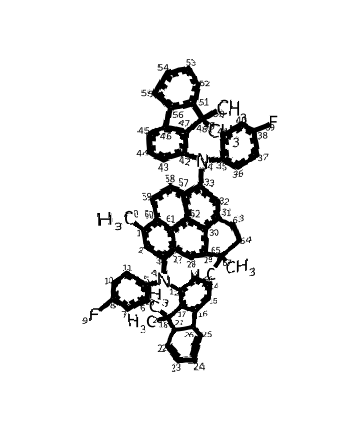 Cc1cc(N(c2ccc(F)cc2)c2cccc3c2C(C)(C)C2C=CC=CC32)c2cc3c4c(cc(N(c5ccc(F)cc5)c5cccc6c5C(C)(C)c5ccccc5-6)c5ccc1c2c54)CCC3(C)C